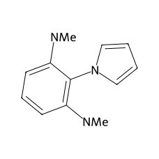 CNc1cccc(NC)c1-n1cccc1